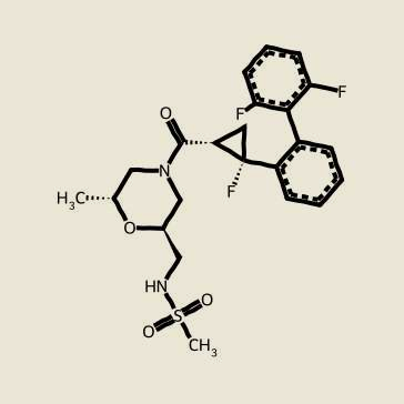 C[C@@H]1CN(C(=O)[C@@H]2C[C@@]2(F)c2ccccc2-c2c(F)cccc2F)C[C@@H](CNS(C)(=O)=O)O1